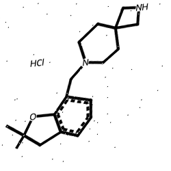 CC1(C)Cc2cccc(CN3CCC4(CC3)CNC4)c2O1.Cl